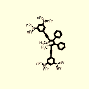 CCCN(CCC)c1cc(C#CC2=C(c3ccccc3)C(c3ccccc3)=C(C#Cc3cc(N(CCC)CCC)cc(N(CCC)CCC)c3)S2(C)C)cc(N(CCC)CCC)c1